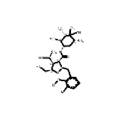 CCOc1c(Br)cccc1CN1O[C@@H](CO)[C@@H]([C@H](C)O)[C@H]1C(=O)N[C@H]1C[C@@H](C)C(C)(C)[C@@H](C)[C@@H]1C